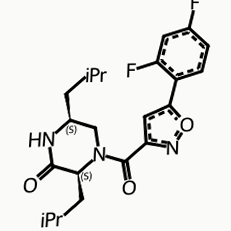 CC(C)C[C@H]1CN(C(=O)c2cc(-c3ccc(F)cc3F)on2)[C@@H](CC(C)C)C(=O)N1